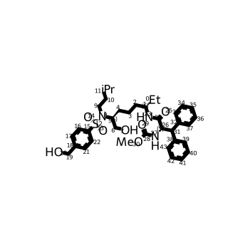 CC[C@@H](CCC[C@@H](CO)N(CCC(C)C)S(=O)(=O)c1ccc(CO)cc1)NC(=O)[C@@H](NC(=O)OC)C(c1ccccc1)c1ccccc1